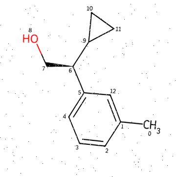 Cc1cccc([C@@H](CO)C2CC2)c1